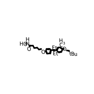 CCC(CC)(c1ccc(OCCCCCC(=O)NO)cc1)c1ccc(OCCC(C)(C)C)c(C)c1